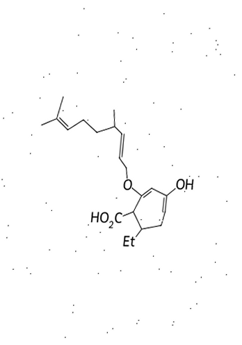 CCC1CC=C(O)C=C(OC/C=C/C(C)CCC=C(C)C)C1C(=O)O